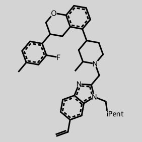 C=Cc1ccc2nc(CN3CCC(c4cccc5c4CC(c4ccc(C)cc4F)CO5)CC3C)n(CC(C)CCC)c2c1